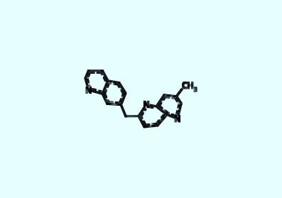 Cc1cnc2ccc(Cc3ccc4cccnc4c3)nc2c1